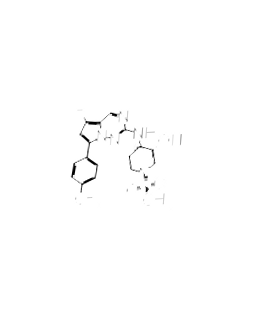 CS(=O)(=O)N1CC[C@@H](Nc2ncc3c(F)cc(-c4ccc(C(F)(F)F)cc4)n3n2)[C@H](O)C1